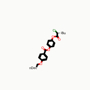 CCCCCCCCCCCOc1ccc(C(=O)Oc2ccc(OC(=O)C(Cl)[C@@H](C)CC)cc2)cc1